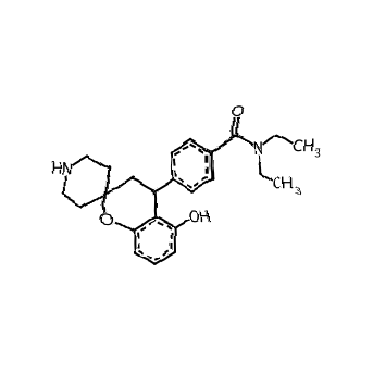 CCN(CC)C(=O)c1ccc(C2CC3(CCNCC3)Oc3cccc(O)c32)cc1